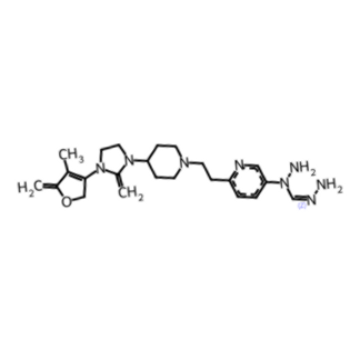 C=C1OCC(N2CCN(C3CCN(CCc4ccc(N(N)/C=N\N)cn4)CC3)C2=C)=C1C